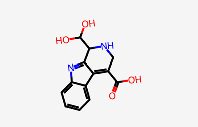 O=C(O)C1=C2C(=Nc3ccccc32)C(C(O)O)NC1